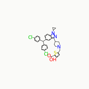 O=C(O)c1ccc(CN2CCC(c3nn(C4CC4)c4ccc(C(c5ccc(Cl)cc5)c5ccc(Cl)cc5)cc34)CC2)s1